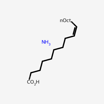 CCCCCCCC/C=C\CCCCCCCC(=O)O.N